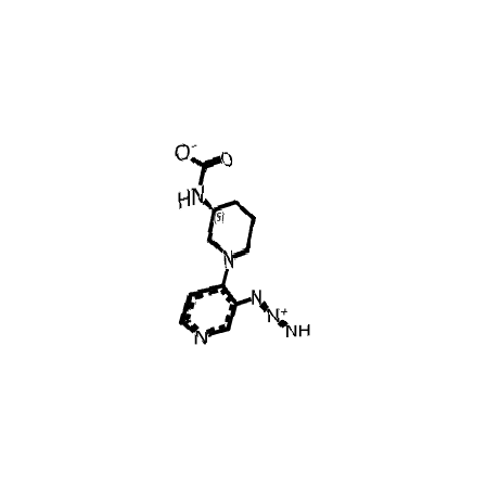 N=[N+]=Nc1cnccc1N1CCC[C@H](NC(=O)[O-])C1